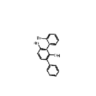 CC(C)c1ccccc1-c1c(O)ccc(-c2ccccc2)c1O